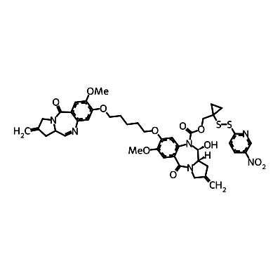 C=C1CC2C=Nc3cc(OCCCCCOc4cc5c(cc4OC)C(=O)N4CC(=C)C[C@H]4[C@H](O)N5C(=O)OCC4(SSc5ccc([N+](=O)[O-])cn5)CC4)c(OC)cc3C(=O)N2C1